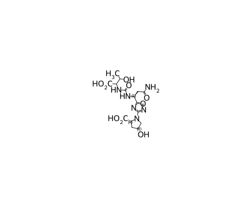 CC(O)C(NC(=O)N[C@@H](CC(N)=O)c1nc(N2C[C@H](O)C[C@@H]2C(=O)O)no1)C(=O)O